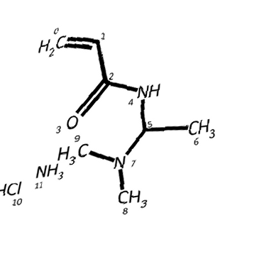 C=CC(=O)NC(C)N(C)C.Cl.N